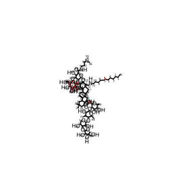 CCCCCCCCCCCCNC[C@@]1(C)C2CC[C@]3(C)C(CC=C4C5CC(C)(C)CC[C@]5(C(=O)OC5OC(C)C(O)C(O)C5OC5OC(C)C(OC6OCC(O)C(OC7OCC(O)(CO)C7O)C6O)C(C)C5O)[C@H](O)C[C@]43C)[C@@]2(C)CC[C@@H]1OC1OC(C(=O)NCCCN(C)C)C(O)C(OC2OCC(O)C(O)C2O)C1OC1OC(CO)C(O)C(O)C1O